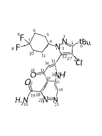 CC(C)(C)c1nn(C2CCC(F)(F)CC2)c(-c2cc(=O)c3c(C(N)=O)nncc3[nH]2)c1Cl